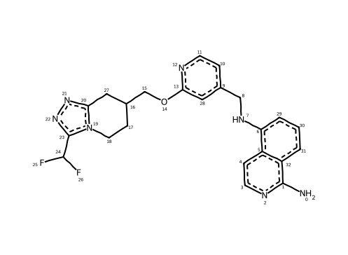 Nc1nccc2c(NCc3ccnc(OCC4CCn5c(nnc5C(F)F)C4)c3)cccc12